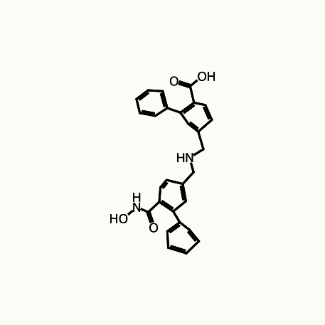 O=C(O)c1ccc(CNCc2ccc(C(=O)NO)c(-c3ccccc3)c2)cc1-c1ccccc1